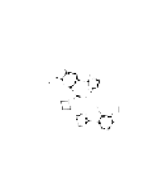 COc1cc(C(=O)N2CC[C@H]2c2nc(-c3cccc(Cl)c3C)no2)c(-n2nccn2)cc1F